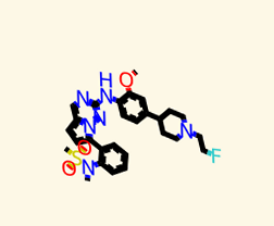 COc1cc(C2CCN(CCF)CC2)ccc1Nc1ncc2ccc(-c3ccccc3N(C)S(C)(=O)=O)n2n1